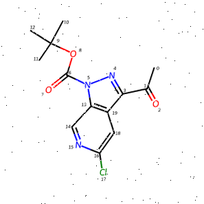 CC(=O)c1nn(C(=O)OC(C)(C)C)c2cnc(Cl)cc12